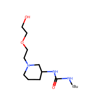 CC(C)(C)NC(=O)NC1CCCN(CCOCCO)C1